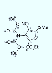 CCOC(=O)c1sc(SC)c(C#N)c1N(C(=O)OC(C)(C)C)C(=O)OC(C)(C)C